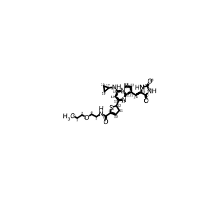 CCCOCCNC(=O)C1=CCC(c2cc(NC3CC3)n3ncc(/C=C4\NC(=O)NC4=O)c3n2)S1